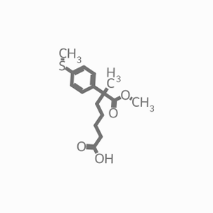 COC(=O)C(C)(CCCCC(=O)O)c1ccc(SC)cc1